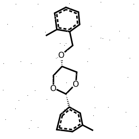 Cc1cccc([C@H]2OC[C@@H](OCc3ccccc3C)CO2)c1